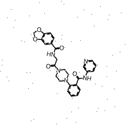 O=C(NCC(=O)N1CCN(c2ccccc2C(=O)Nc2cccnc2)CC1)c1ccc2c(c1)OCO2